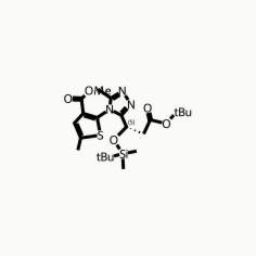 COC(=O)c1cc(C)sc1-n1c(C)nnc1[C@H](CC(=O)OC(C)(C)C)O[Si](C)(C)C(C)(C)C